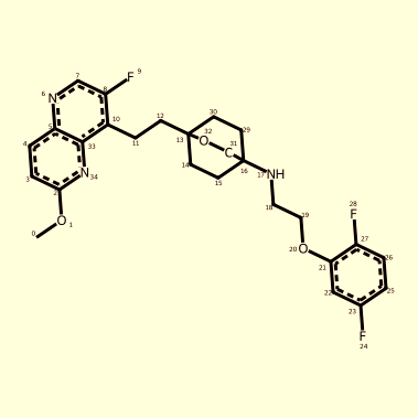 COc1ccc2ncc(F)c(CCC34CCC(NCCOc5cc(F)ccc5F)(CC3)CO4)c2n1